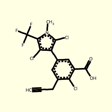 C#CCc1cc(-c2c(Cl)c(C(F)(F)F)n(C)c2Cl)cc(C(=O)O)c1Cl